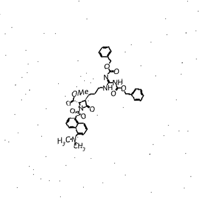 COC(=O)[C@@H]1[C@@H](CCCNC(=NC(=O)OCc2ccccc2)NC(=O)OCc2ccccc2)C(=O)N1S(=O)(=O)c1cccc2c(N(C)C)cccc12